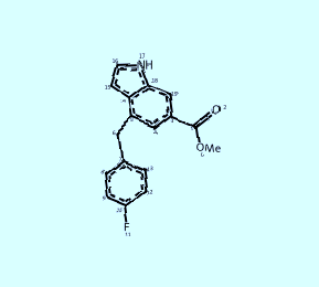 COC(=O)c1cc(Cc2ccc(F)cc2)c2cc[nH]c2c1